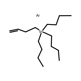 C=CC[CH2][Sn]([CH2]CCC)([CH2]CCC)[CH2]CCC.[Ar]